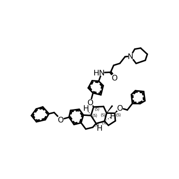 C[C@]12C[C@H](Oc3ccc(NC(=O)CCCN4CCCCC4)cc3)[C@@H]3c4ccc(OCc5ccccc5)cc4CC[C@H]3[C@@H]1CC[C@@H]2OCc1ccccc1